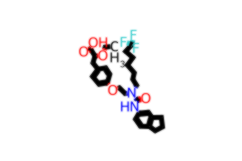 CCOC(Cc1ccc(OCCN(CCCCCCC(F)(F)F)C(=O)Nc2ccc3c(c2)CCC3)cc1)C(=O)O